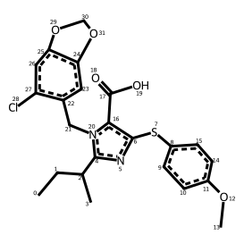 CCC(C)c1nc(Sc2ccc(OC)cc2)c(C(=O)O)n1Cc1cc2c(cc1Cl)OCO2